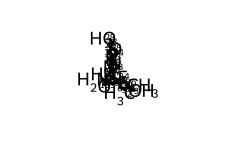 CC(C)(O)c1ccc(C2=CC(C(N)=O)C(Nc3ccnc(CN4CCOC(CCO)C4)n3)S2)c(F)c1